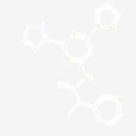 CC(C(=O)Nc1cc(-n2cccn2)nc(-c2nccs2)n1)c1cccnc1